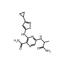 CC(Nc1cnc(C(N)=O)c(Nc2cc(C3CC3)ns2)n1)C(N)=O